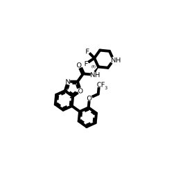 O=C(N[C@@H]1CNCCC1(F)F)c1nc2cccc(-c3ccccc3OCC(F)(F)F)c2o1